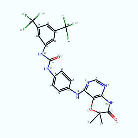 CC1(C)Oc2c(ncnc2Nc2ccc(NC(=O)Nc3cc(C(F)(F)F)cc(C(F)(F)F)c3)cc2)NC1=O